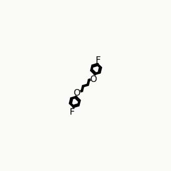 Fc1ccc(OCCCCOc2ccc(F)cc2)cc1